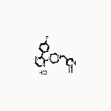 Cl.Fc1ccc(-c2nccnc2N2CCN(Cc3cn[nH]c3)CC2)cc1